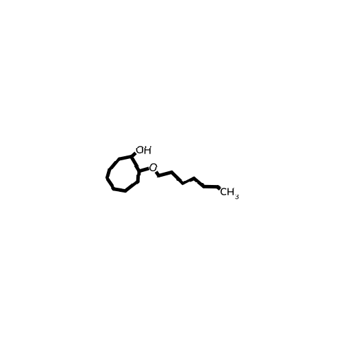 CCCCCCCOC1CCCCCCC1O